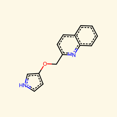 c1ccc2nc(COc3cc[nH]c3)ccc2c1